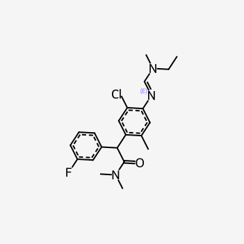 CCN(C)/C=N/c1cc(C)c(C(C(=O)N(C)C)c2cccc(F)c2)cc1Cl